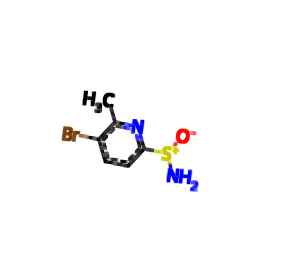 Cc1nc([S+](N)[O-])ccc1Br